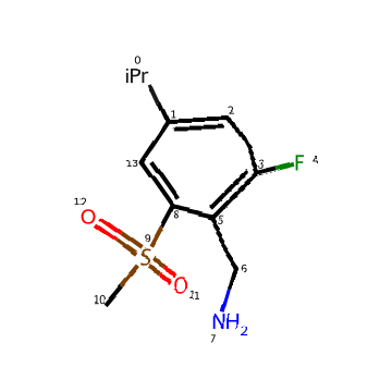 CC(C)c1cc(F)c(CN)c(S(C)(=O)=O)c1